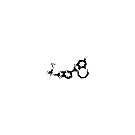 CC(C)(C)OC(=O)Nc1nc2nc(-c3nc4cc(Br)cc5c4n3CCCCO5)ccc2o1